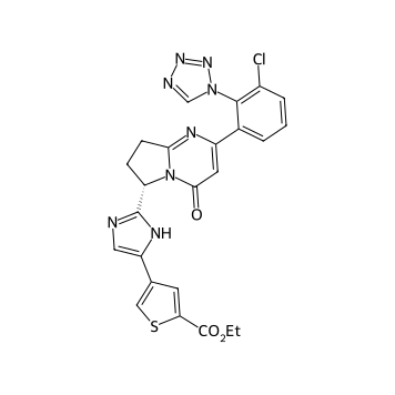 CCOC(=O)c1cc(-c2cnc([C@@H]3CCc4nc(-c5cccc(Cl)c5-n5cnnn5)cc(=O)n43)[nH]2)cs1